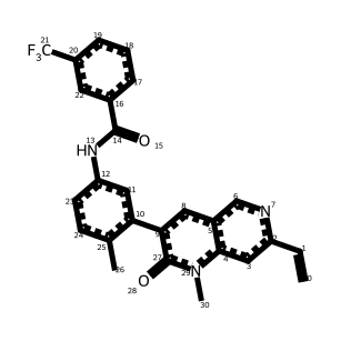 C=Cc1cc2c(cn1)cc(-c1cc(NC(=O)c3cccc(C(F)(F)F)c3)ccc1C)c(=O)n2C